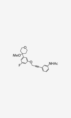 COC1(c2cc(F)cc(OCC#Cc3cccc(NC(C)=O)c3)c2)CCOCC1